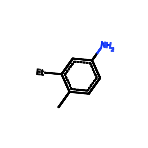 CCc1cc(N)ccc1C